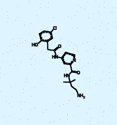 CC(C)(CCN)NC(=O)c1cc(NC(=O)Cc2cc(Cl)ccc2O)ccn1